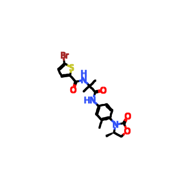 Cc1cc(NC(=O)C(C)(C)NC(=O)c2ccc(Br)s2)ccc1N1C(=O)OC[C@H]1C